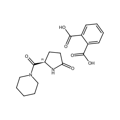 O=C(O)c1ccccc1C(=O)O.O=C1CC[C@H](C(=O)N2CCCCC2)N1